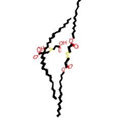 CCCCCCCCCCCCCCC(CCCCCCCCCCCCCC)(CSCCC(=O)O)C(=O)O.CCCCCCCCCCCCCCOC(=O)CCSCCC(=O)OCCCCCCCCCCCCCC